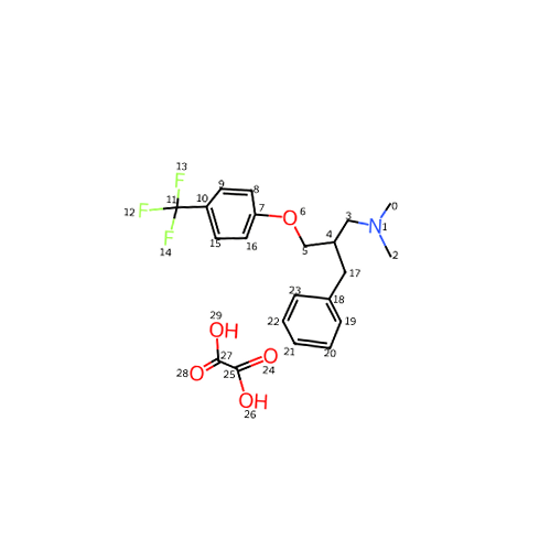 CN(C)CC(COc1ccc(C(F)(F)F)cc1)Cc1ccccc1.O=C(O)C(=O)O